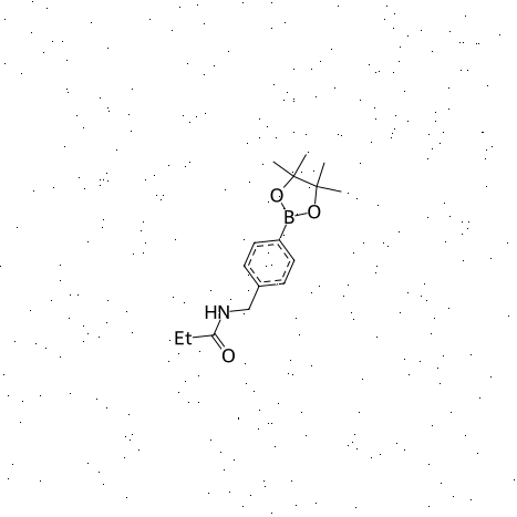 CCC(=O)NCc1ccc(B2OC(C)(C)C(C)(C)O2)cc1